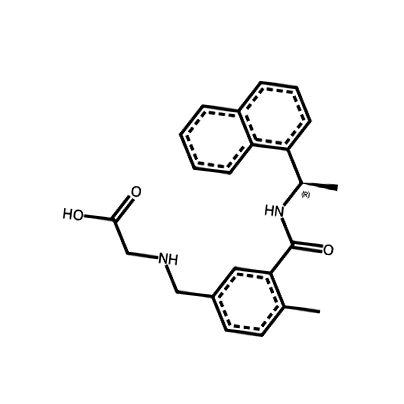 Cc1ccc(CNCC(=O)O)cc1C(=O)N[C@H](C)c1cccc2ccccc12